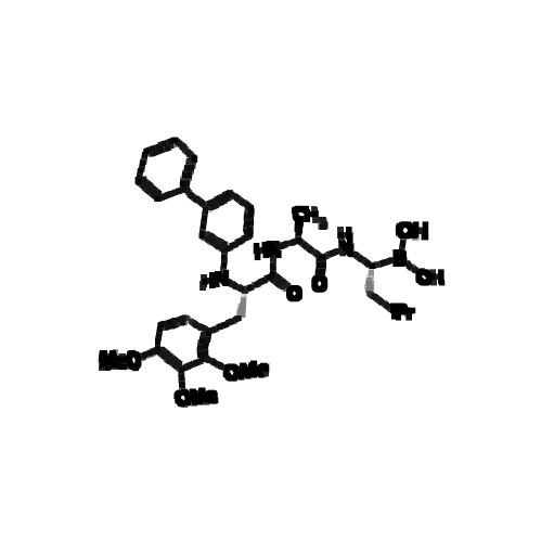 COc1ccc(C[C@H](Nc2cccc(-c3ccccc3)c2)C(=O)N[C@@H](C)C(=O)N[C@@H](CC(C)C)B(O)O)c(OC)c1OC